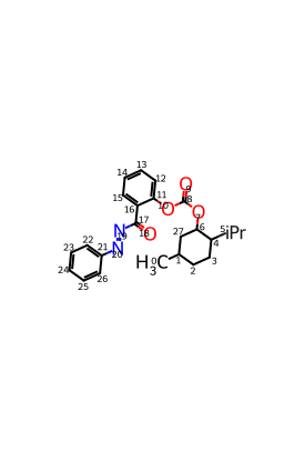 CC1CCC(C(C)C)C(OC(=O)Oc2ccccc2C(=O)N=Nc2ccccc2)C1